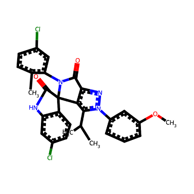 COc1cccc(-n2nc3c(c2C(C)C)C2(C(=O)Nc4cc(Cl)ccc42)N(c2cc(Cl)ccc2C)C3=O)c1